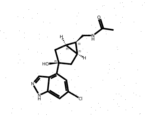 CC(=O)NC[C@H]1[C@H]2C[C@](O)(c3cc(Cl)cc4[nH]ncc34)C[C@@H]12